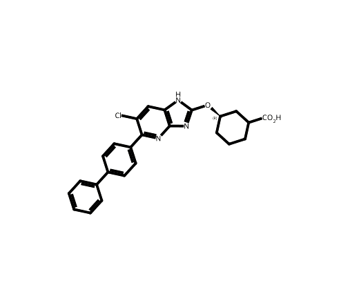 O=C(O)C1CCC[C@@H](Oc2nc3nc(-c4ccc(-c5ccccc5)cc4)c(Cl)cc3[nH]2)C1